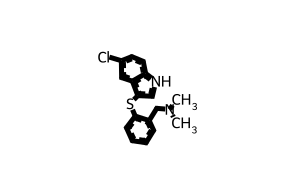 CN(C)Cc1ccccc1Sc1c[nH]c2ccc(Cl)cc12